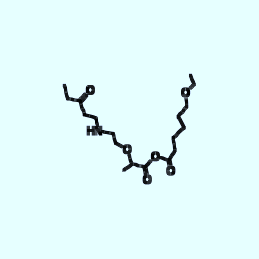 CCOCCCCCC(=O)OC(=O)C(C)OCCNCCC(=O)CC